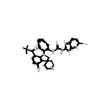 CC(C)(C)C(O)c1ccc(Cl)c2c1N(c1ccccc1NC(=O)Nc1nc3ccc(Cl)nc3s1)CC21CCNCC1